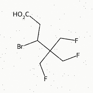 O=C(O)CC(Br)C(CF)(CF)CF